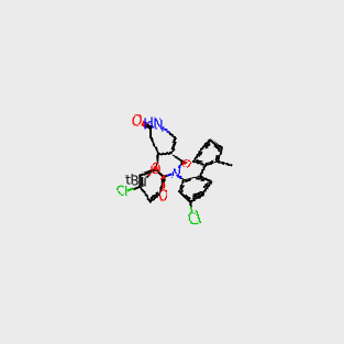 Cc1ccccc1-c1ccc(Cl)cc1N(C(=O)OC(C)(C)C)C(=O)[C@@H]1CNC(=O)CC1[C@@H]1C=C(Cl)C=CC1